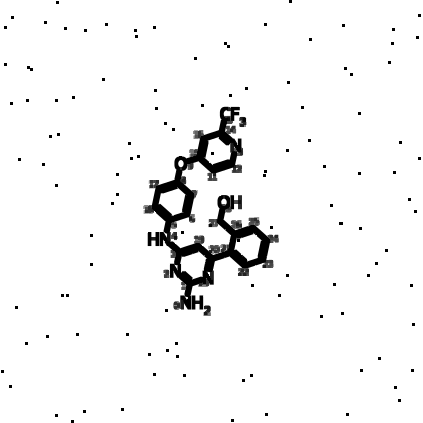 Nc1nc(Nc2ccc(Oc3ccnc(C(F)(F)F)c3)cc2)cc(-c2ccccc2CO)n1